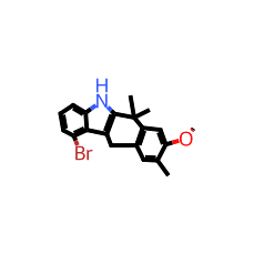 COc1cc2c(cc1C)Cc1c([nH]c3cccc(Br)c13)C2(C)C